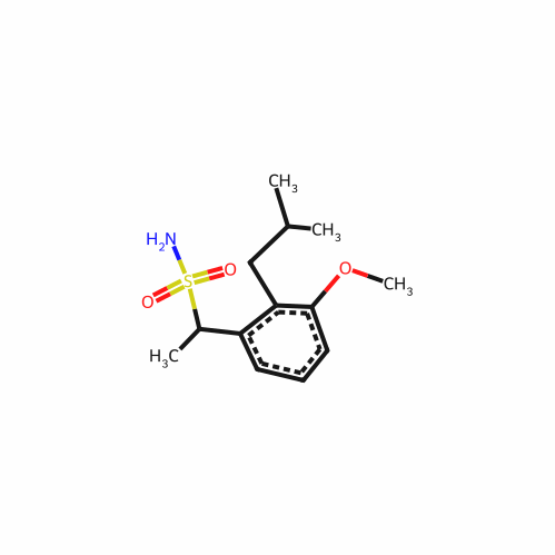 COc1cccc(C(C)S(N)(=O)=O)c1CC(C)C